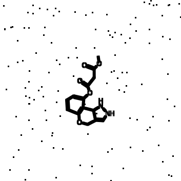 COC(=O)CC(=O)Oc1cccc2c1C1NNC=C1CO2